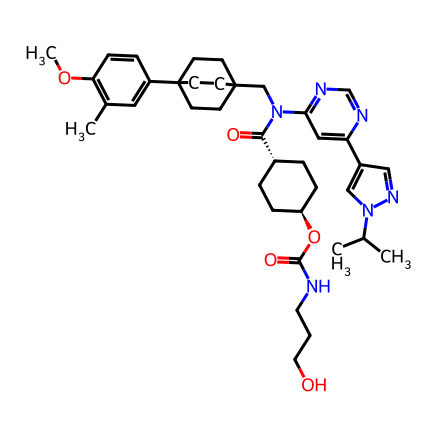 COc1ccc(C23CCC(CN(c4cc(-c5cnn(C(C)C)c5)ncn4)C(=O)[C@H]4CC[C@H](OC(=O)NCCCO)CC4)(CC2)CC3)cc1C